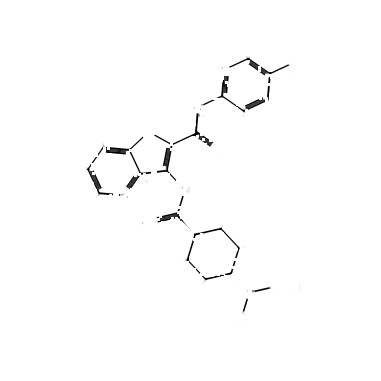 CN(C(=O)O)[C@H]1CC[C@H](C(=O)Nc2c(C(=O)Nc3ccc(Cl)cn3)oc3cccnc23)CC1